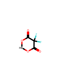 O=C1OBOC(=O)C1(F)F